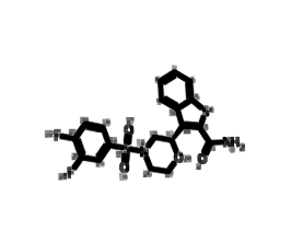 NC(=O)c1sc2ccccc2c1[C@@H]1CN(S(=O)(=O)c2ccc(F)c(F)c2)CCO1